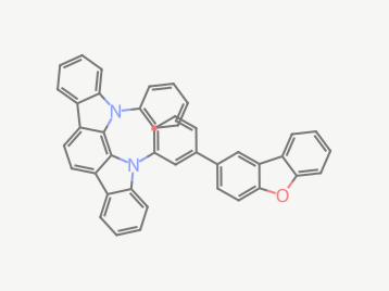 c1ccc(-n2c3ccccc3c3ccc4c5ccccc5n(-c5cccc(-c6ccc7oc8ccccc8c7c6)c5)c4c32)cc1